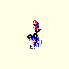 CCNC(=O)Nc1nc2cc(-c3cc(C)n(CN4CCOCC4)c(=O)c3)cc(-c3ccccn3)c2[nH]1